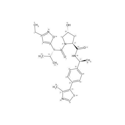 CCc1cc([C@H](C(=O)N2C[C@H](O)C[C@H]2C(=O)N[C@@H](C)c2ccc(-c3scnc3C)cc2)C(C)C)on1